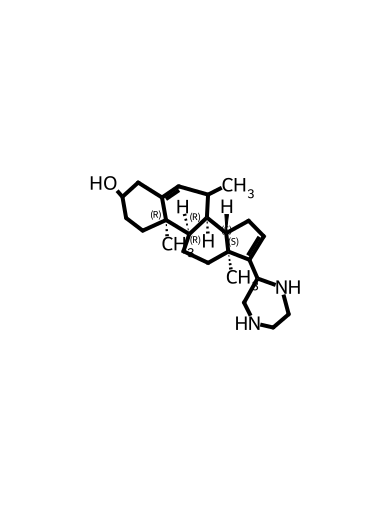 CC1C=C2CC(O)CC[C@]2(C)[C@@H]2CC[C@]3(C)C(C4CNCCN4)=CC[C@H]3[C@H]12